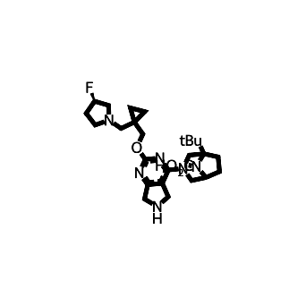 CC(C)(C)C12CCC(CN(c3nc(OCC4(CN5CC[C@@H](F)C5)CC4)nc4c3CNC4)C1)N2C(=O)O